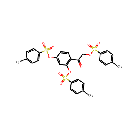 O=C(COS(=O)(=O)c1ccc(C(F)(F)F)cc1)c1ccc(OS(=O)(=O)c2ccc(C(F)(F)F)cc2)cc1OS(=O)(=O)c1ccc(C(F)(F)F)cc1